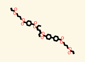 C=CC(=O)OCCCCOC(=O)C1CCC(C(=O)O/C(=C/C=C(\C=C)OC(=O)C2CCC(C3CCC(C(=O)OCCCCOC(=O)C=C)CC3)CC2)CC)CC1